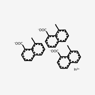 Cc1cccc2cccc(C(=O)[O-])c12.Cc1cccc2cccc(C(=O)[O-])c12.Cc1cccc2cccc(C(=O)[O-])c12.[In+3]